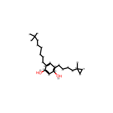 CC(C)(C)CCCCCCc1cc(CCCCC2(C)CC2)c(O)cc1O